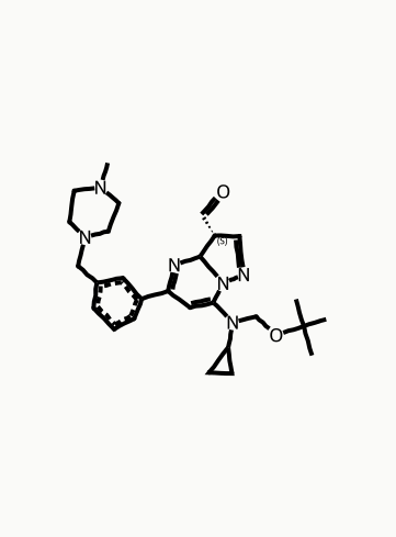 CN1CCN(Cc2cccc(C3=NC4[C@H](C=O)C=NN4C(N(COC(C)(C)C)C4CC4)=C3)c2)CC1